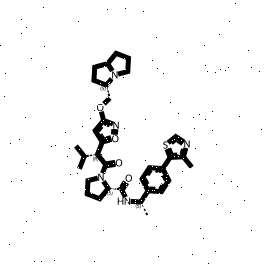 Cc1ncsc1-c1ccc([C@H](C)NC(=O)[C@@H]2CCCN2C(=O)[C@@H](c2cc(OC[C@@H]3CCC4CCCN43)no2)C(C)C)cc1